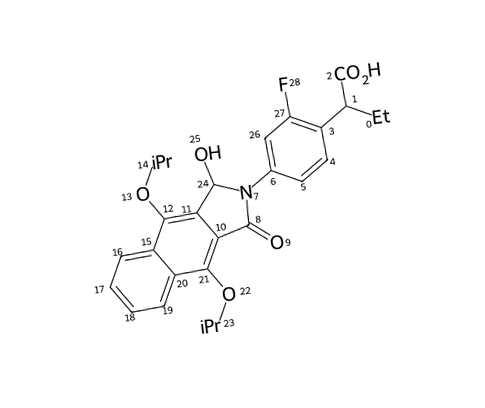 CCC(C(=O)O)c1ccc(N2C(=O)c3c(c(OC(C)C)c4ccccc4c3OC(C)C)C2O)cc1F